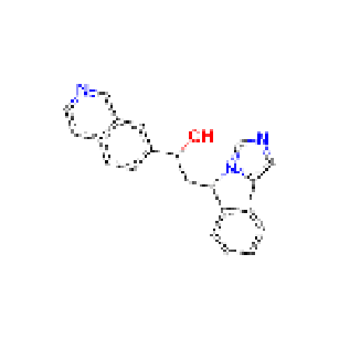 OC(CC1c2ccccc2-c2cncn21)c1ccc2ccncc2c1